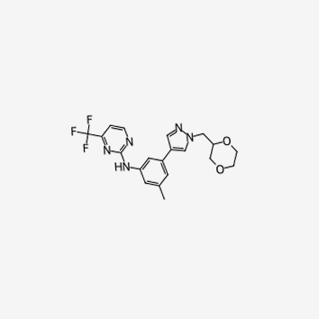 Cc1cc(Nc2nccc(C(F)(F)F)n2)cc(-c2cnn(CC3COCCO3)c2)c1